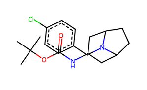 CC(C)(C)OC(=O)NC1CC2CCC(C1)N2Cc1ccc(Cl)cc1